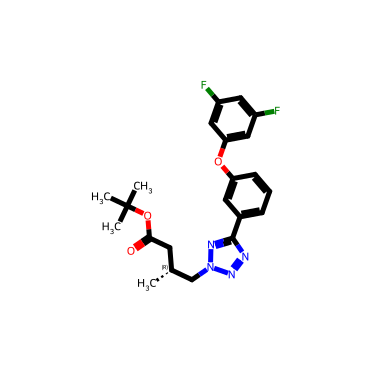 C[C@H](CC(=O)OC(C)(C)C)Cn1nnc(-c2cccc(Oc3cc(F)cc(F)c3)c2)n1